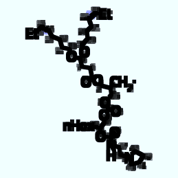 [CH2]C(COC(=O)CCC(OCCCC/C=C\CC)OCCCC/C=C\CC)COC(=O)OCC(CCCCCC)OC(=O)NCCN1CCCC1